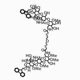 COCC1OC(OC2C(NC(C)=O)CC(NC(C)=O)C(OC3OC(CNC(=O)CSCCOCCSCC(=O)NCC4OC(OC5C(NC(C)=O)CC(NC(C)=O)C(OC6OC(CCO)C(CO)C(NC(=O)OCC7c8ccccc8-c8ccccc87)C6OC)C5OC)C(CO)C(OC)C4OC)C(CO)C(CO)C3OC)C2CO)C(CO)C(NC(=O)OCC2c3ccccc3-c3ccccc32)C1OC